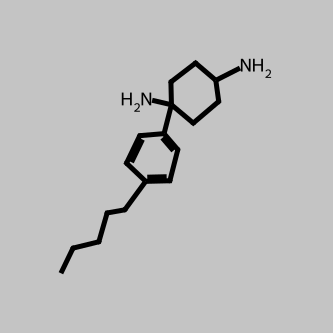 CCCCCc1ccc(C2(N)CCC(N)CC2)cc1